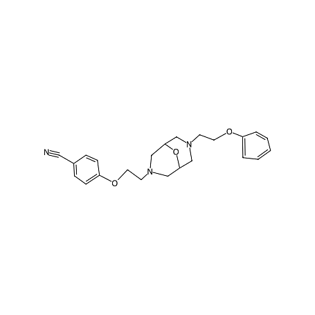 N#Cc1ccc(OCCN2CC3CN(CCOc4ccccc4)CC(C2)O3)cc1